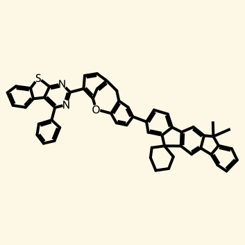 CC1(C)c2ccccc2-c2cc3c(cc21)-c1ccc(-c2ccc4c(c2)Cc2ccc(-c5nc(-c6ccccc6)c6c(n5)sc5ccccc56)c(c2)O4)cc1C31CCCCC1